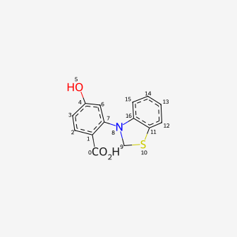 O=C(O)c1ccc(O)cc1N1CSc2ccccc21